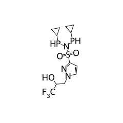 O=S(=O)(c1ccn(CC(O)C(F)(F)F)n1)N(PC1CC1)PC1CC1